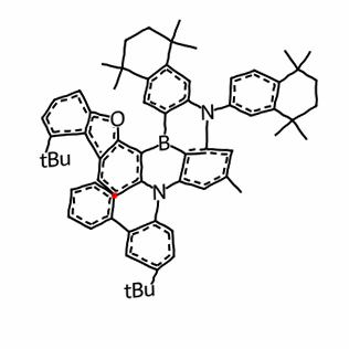 Cc1cc2c3c(c1)N(c1ccc(C(C)(C)C)cc1-c1ccccc1)c1ccc4c(oc5cccc(C(C)(C)C)c54)c1B3c1cc3c(cc1N2c1ccc2c(c1)C(C)(C)CCC2(C)C)C(C)(C)CCC3(C)C